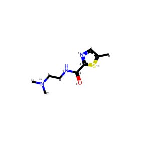 Cc1cnc(C(=O)NCCN(C)C)s1